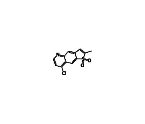 CC1=Cc2cc3nccc(Cl)c3cc2S1(=O)=O